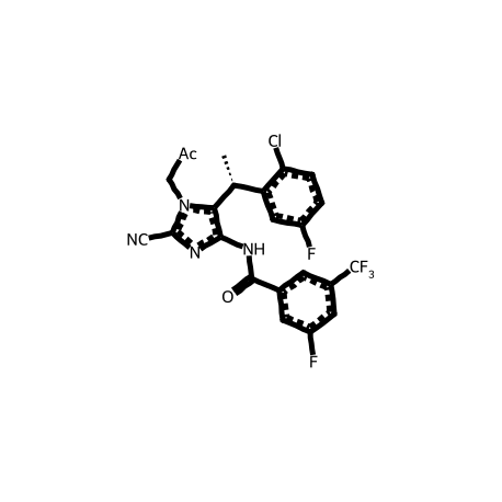 CC(=O)Cn1c(C#N)nc(NC(=O)c2cc(F)cc(C(F)(F)F)c2)c1[C@H](C)c1cc(F)ccc1Cl